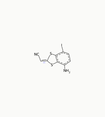 N#C/C=C1/Sc2c(N)ccc(I)c2S1